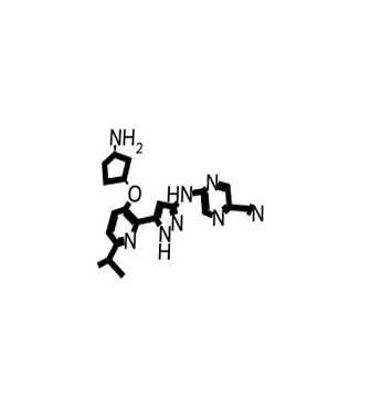 CC(C)c1ccc(O[C@@H]2CC[C@H](N)C2)c(-c2cc(Nc3cnc(C#N)cn3)n[nH]2)n1